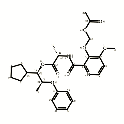 COc1ccnc(C(=O)N[C@@H](C)C(=O)O[C@H](C2CCCC2)[C@H](C)Oc2ccccc2)c1OCOC(C)=O